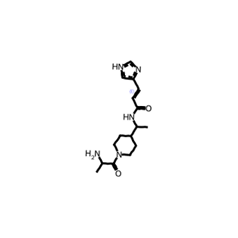 CC(N)C(=O)N1CCC(C(C)NC(=O)/C=C/c2c[nH]cn2)CC1